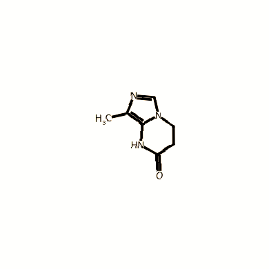 Cc1ncn2c1NC(=O)CC2